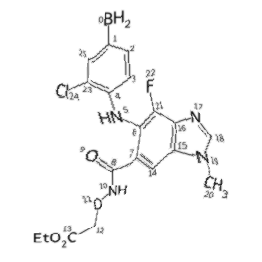 Bc1ccc(Nc2c(C(=O)NOCC(=O)OCC)cc3c(ncn3C)c2F)c(Cl)c1